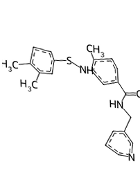 Cc1ccc(SNc2cc(C(=O)NCc3cccnc3)ccc2C)cc1C